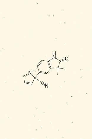 CC1(C)C(=O)Nc2ccc(C3(C#N)C=CC=N3)cc21